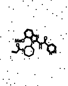 C=CC(=O)N1CCCCC(n2c(NC(=O)c3ccnnc3)nc3cccc(OC)c32)C1